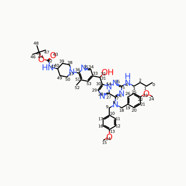 CCCCNc1nc(N(Cc2ccc(OC)cc2)Cc2ccc(OC)cc2)c2ncc(C(O)c3cnc(N4CCC(NC(=O)OC(C)(C)C)CC4)c(C)c3)n2n1